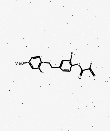 C=C(C)C(=O)Oc1ccc(CCc2ccc(OC)cc2F)cc1F